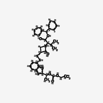 C=C(C)[C@H](C(=O)OC(c1ccccc1)c1ccccc1)N1C[C@H](SSc2cccc3sc(C(C)OC(=O)OCC(Cl)(Cl)Cl)nc23)C1=O